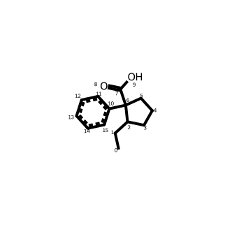 CCC1CCCC1(C(=O)O)c1ccccc1